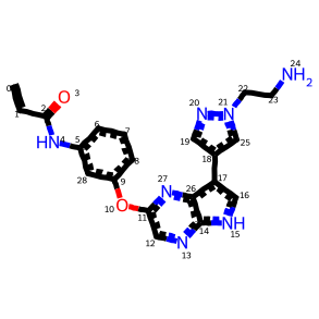 C=CC(=O)Nc1cccc(Oc2cnc3[nH]cc(-c4cnn(CCN)c4)c3n2)c1